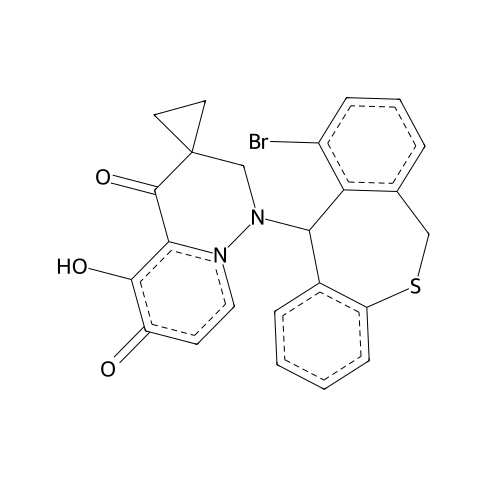 O=C1c2c(O)c(=O)ccn2N(C2c3ccccc3SCc3cccc(Br)c32)CC12CC2